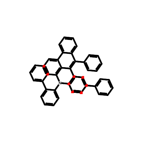 c1ccc(-c2ccc(N(c3ccccc3-c3ccccc3)c3cccc4c3c(-c3ccccc3)c(-c3ccccc3)c3ccccc34)cc2)cc1